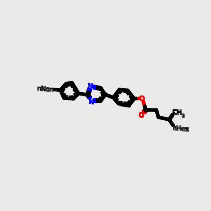 CCCCCCCCCc1ccc(-c2ncc(-c3ccc(OC(=O)CCC(C)CCCCCC)cc3)cn2)cc1